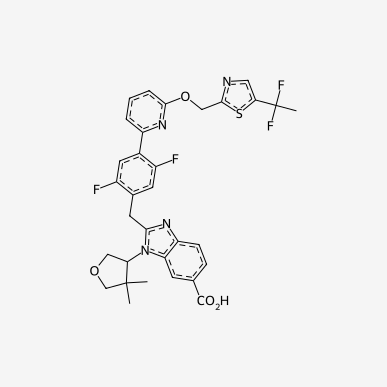 CC(F)(F)c1cnc(COc2cccc(-c3cc(F)c(Cc4nc5ccc(C(=O)O)cc5n4C4COCC4(C)C)cc3F)n2)s1